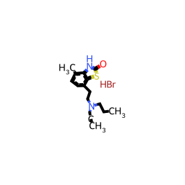 Br.CCCN(CCC)CCc1ccc(C)c2[nH]c(=O)sc12